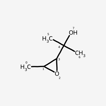 CC1OC1C(C)(C)O